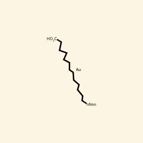 CCCCCCCCCCCCCCCCCCCCCC(=O)O.[Au]